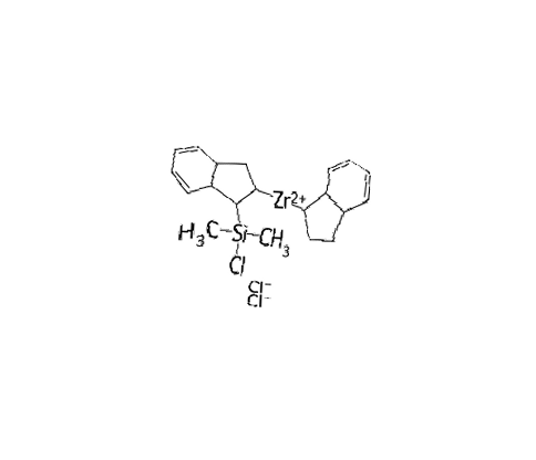 C[Si](C)(Cl)C1[CH]([Zr+2][CH]2CCC3C=CC=CC32)CC2C=CC=CC21.[Cl-].[Cl-]